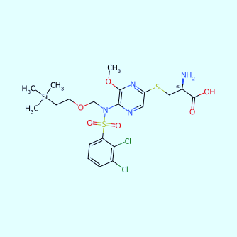 COc1nc(SC[C@@H](N)C(=O)O)cnc1N(COCC[Si](C)(C)C)S(=O)(=O)c1cccc(Cl)c1Cl